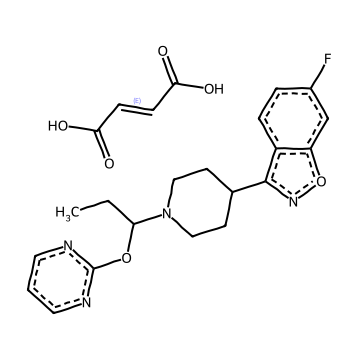 CCC(Oc1ncccn1)N1CCC(c2noc3cc(F)ccc23)CC1.O=C(O)/C=C/C(=O)O